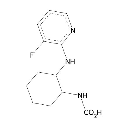 O=C(O)NC1CCCCC1Nc1ncccc1F